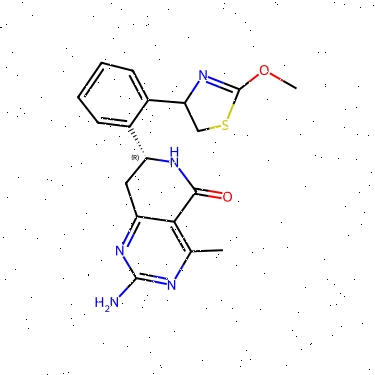 COC1=NC(c2ccccc2[C@H]2Cc3nc(N)nc(C)c3C(=O)N2)CS1